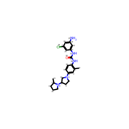 Cc1cc(N2CCC(N3CCCC3C)C2)ccc1NC(=O)Nc1cc(N)cc(Cl)c1